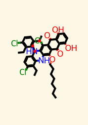 CCCCCCCCOc1c(Nc2c(CC)ccc(Cl)c2CC)c(Nc2c(CC)ccc(Cl)c2CC)c(Cl)c2c1C(=O)c1c(O)ccc(O)c1C2=O